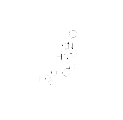 COc1ccc(CC(OC(C)C)C(=O)O)cc1CCNC(=O)c1ncc(-c2ccccc2)n1C